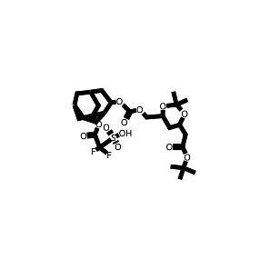 CC(C)(C)OC(=O)CC1CC(COC(=O)OC2CC3CC4CCC2C(OC(=O)C(F)(F)S(=O)(=O)O)(C4)C3)OC(C)(C)O1